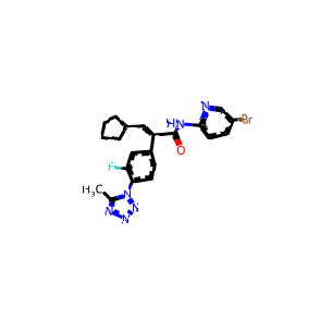 Cc1nnnn1-c1ccc(/C(=C\C2CCCC2)C(=O)Nc2ccc(Br)cn2)cc1F